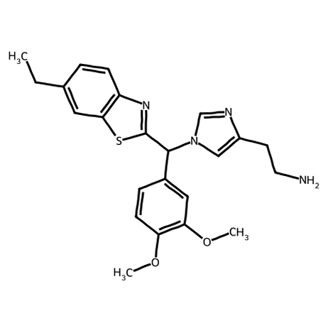 CCc1ccc2nc(C(c3ccc(OC)c(OC)c3)n3cnc(CCN)c3)sc2c1